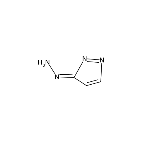 NN=C1C=CN=N1